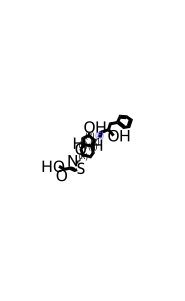 O=C(O)c1csc([C@H]2CC[C@@H]3[C@@H](/C=C/C(O)Cc4ccccc4)[C@H](O)C[C@@H]3O2)n1